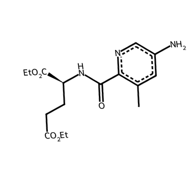 CCOC(=O)CC[C@H](NC(=O)c1ncc(N)cc1C)C(=O)OCC